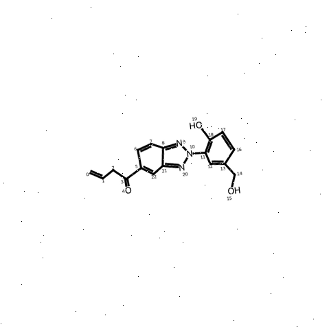 C=CCC(=O)c1ccc2nn(-c3cc(CO)ccc3O)nc2c1